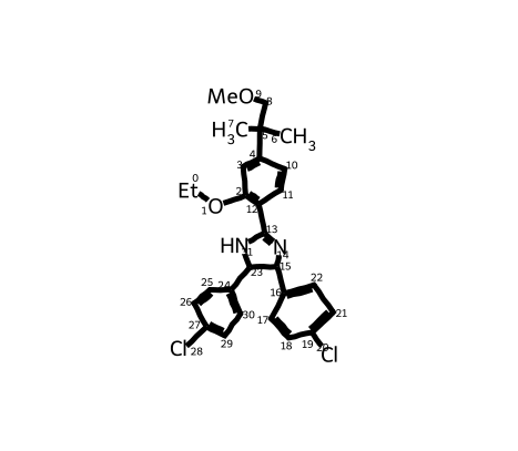 CCOc1cc(C(C)(C)COC)ccc1C1=NC(c2ccc(Cl)cc2)C(c2ccc(Cl)cc2)N1